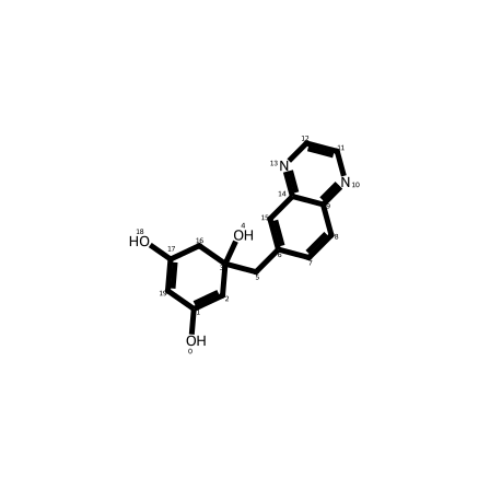 OC1=CC(O)(Cc2ccc3nccnc3c2)CC(O)=C1